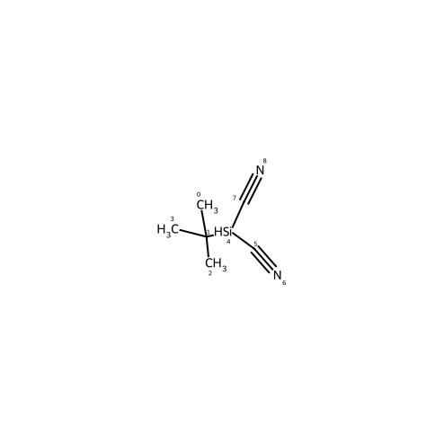 CC(C)(C)[SiH](C#N)C#N